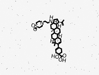 C=C(C)[C@@H]1CC[C@]2(NCCN3CCS(=O)(=O)CC3)CC[C@]3(C)[C@H](CC[C@@H]4[C@@]5(C)CC=C(C6=CCC(O)(C(=O)O)CC6)C(C)(C)[C@@H]5CC[C@]43C)[C@@H]12